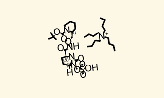 CC(C)(C)OC(=O)N1CCCC[C@H]1CONC(=O)[C@@H]1CC[C@@H]2CN1C(=O)N2OS(=O)(=O)O.CCCC[N+](CCCC)(CCCC)CCCC